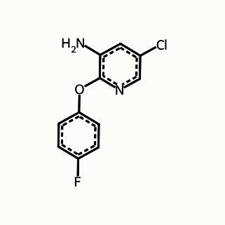 Nc1cc(Cl)cnc1Oc1ccc(F)cc1